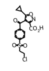 O=C(O)c1noc(C2CC2)c1C(=O)c1ccc(S(=O)(=O)CCCl)cc1